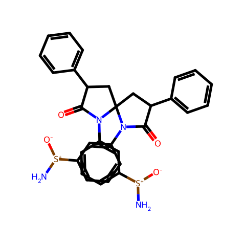 N[S+]([O-])c1cccc(N2C(=O)C(c3ccccc3)CC23CC(c2ccccc2)C(=O)N3c2cccc([S+](N)[O-])c2)c1